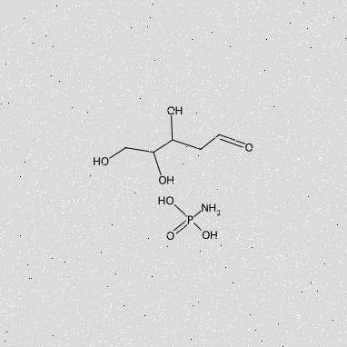 NP(=O)(O)O.O=CCC(O)C(O)CO